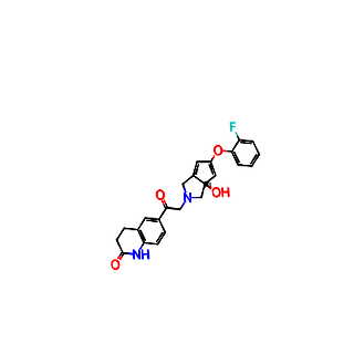 O=C1CCc2cc(C(=O)CN3CC4=CC(Oc5ccccc5F)=C[C@]4(O)C3)ccc2N1